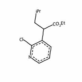 CCOC(=O)C(CC(C)C)c1cccnc1Cl